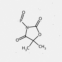 CC1(C)OC(=O)N(P=O)C1=O